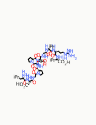 CC(C)C[C@H](NC(=O)[C@@H]1CCCN1C(=O)CNC(=O)[C@H](CC(=O)O)NC(=O)[C@@H](N)CC(C)C)C(=O)N1CCC[C@H]1C(=O)N[C@@H](CO)C(=O)NCC(=O)N[C@H](C(=O)N[C@@H](CCCNC(=N)N)C(=O)N[C@H](C(=O)O)C(C)C)C(C)C